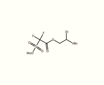 CCCCC(CC)COC(=O)C(F)(F)S(=O)(=O)OC